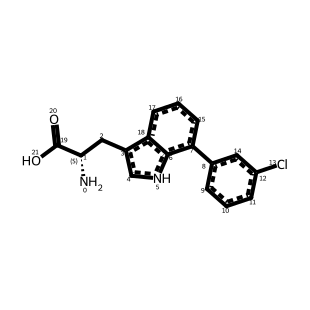 N[C@@H](Cc1c[nH]c2c(-c3cccc(Cl)c3)cccc12)C(=O)O